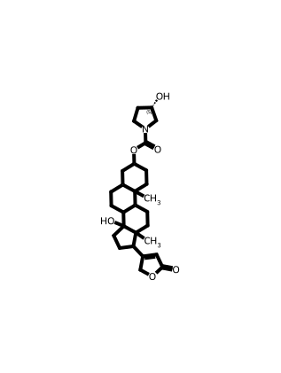 CC12CCC(OC(=O)N3CC[C@H](O)C3)CC1CCC1C2CCC2(C)C(C3=CC(=O)OC3)CCC12O